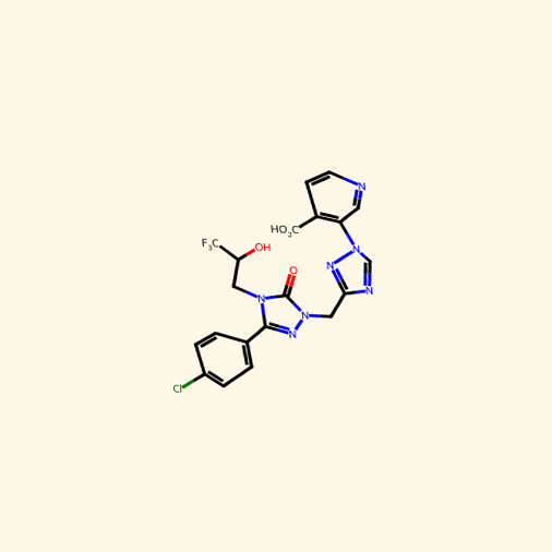 O=C(O)c1ccncc1-n1cnc(Cn2nc(-c3ccc(Cl)cc3)n(CC(O)C(F)(F)F)c2=O)n1